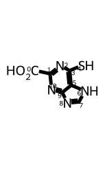 O=C(O)c1nc(S)c2[nH]cnc2n1